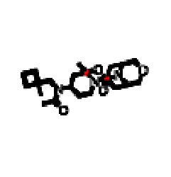 CCOC(=O)N1C2COCC1CC(N1CCC(N(CC3(C)CCC3)C(C)=O)CC1)C2